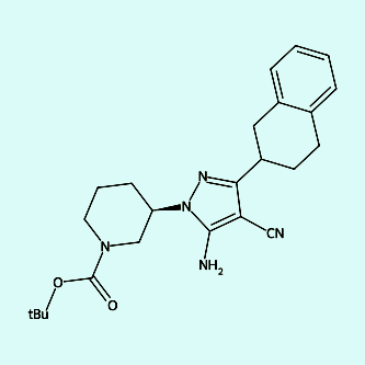 CC(C)(C)OC(=O)N1CCC[C@@H](n2nc(C3CCc4ccccc4C3)c(C#N)c2N)C1